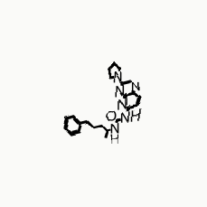 CC(CCCc1ccccc1)NC(=O)Nc1ccc2ncc(N3CCCC3)nc2n1